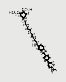 CN(C)c1ccc(-c2ccc(-c3nc4ccc(NCCOCCOCCOCCOc5ccc(C(=O)O)c(C(=O)O)c5)cc4s3)cc2)cn1